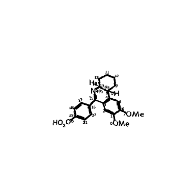 COc1cc2c(cc1OC)[C@H]1CCCC[C@H]1N=C2c1ccc(C(=O)O)cc1